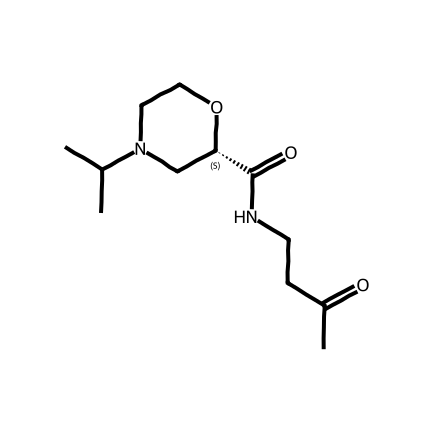 CC(=O)CCNC(=O)[C@@H]1CN(C(C)C)CCO1